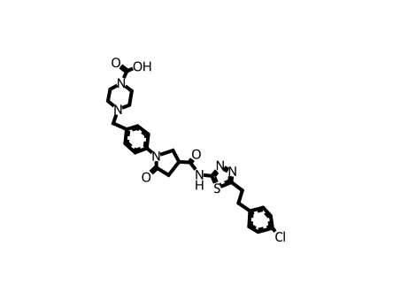 O=C(Nc1nnc(CCc2ccc(Cl)cc2)s1)C1CC(=O)N(c2ccc(CN3CCN(C(=O)O)CC3)cc2)C1